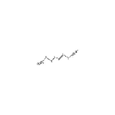 N#CCC=CCCCC#N